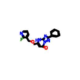 O=c1cc(COCc2cccnc2F)[nH]c2nc(-c3ccccc3)nn12